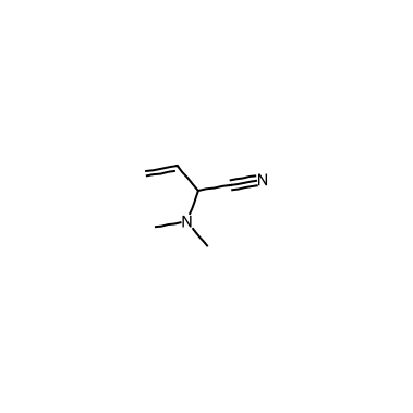 C=CC(C#N)N(C)C